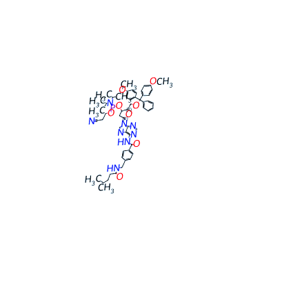 COc1ccc(C(OC[C@H]2O[C@@H](n3cnc4c(NC(=O)c5ccc(CNC(=O)CCC(C)C)cc5)ncnc43)CC2OP(OCCC#N)N(C(C)C)C(C)C)(c2ccccc2)c2ccc(OC)cc2)cc1